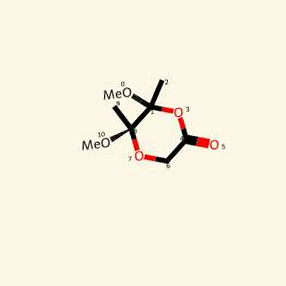 COC1(C)OC(=O)CO[C@@]1(C)OC